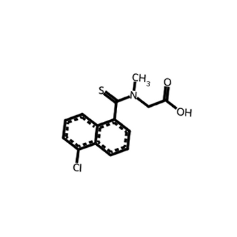 CN(CC(=O)O)C(=S)c1cccc2c(Cl)cccc12